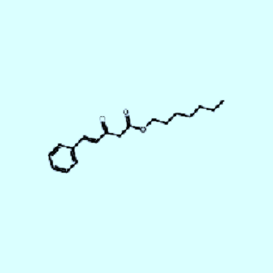 CCCCCCCOC(=O)CC(=O)C=Cc1ccccc1